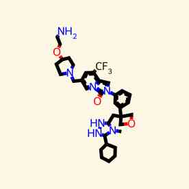 CN1C(CC2(c3cccc(-n4cc5c(C(F)(F)F)cc(CN6CCC(OCCN)CC6)cn5c4=O)c3)COC2)NNC1C1CCCCC1